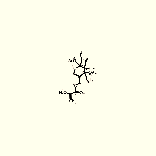 C=C(C)C(=O)OCC1COC(CF)(OC(C)=O)C(F)(F)C1(C)OC(C)=O